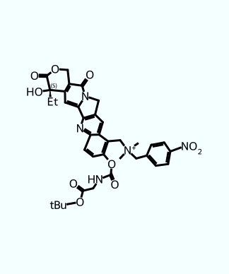 CC[C@@]1(O)C(=O)OCc2c1cc1n(c2=O)Cc2cc3c(C[N+](C)(C)Cc4ccc([N+](=O)[O-])cc4)c(OC(=O)NCC(=O)OC(C)(C)C)ccc3nc2-1